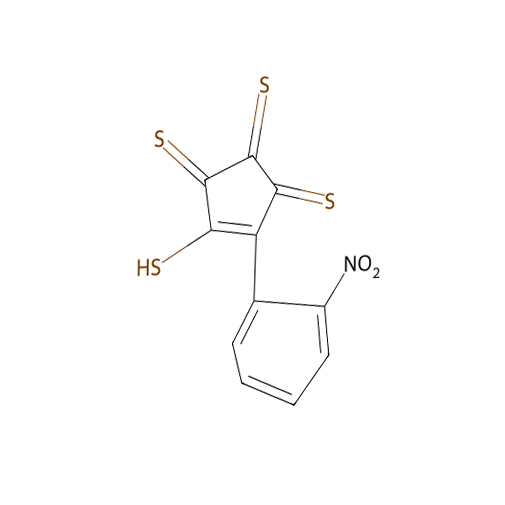 O=[N+]([O-])c1ccccc1-c1c(S)c(=S)c(=S)c1=S